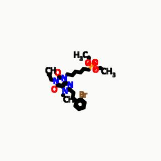 C#CCn1c(=O)c2c(nc(CCc3ccccc3Br)n2CC)n(CCCCCCP(=O)(OCC)OCC)c1=O